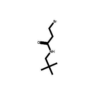 CC(C)(C)CNC(=O)CCBr